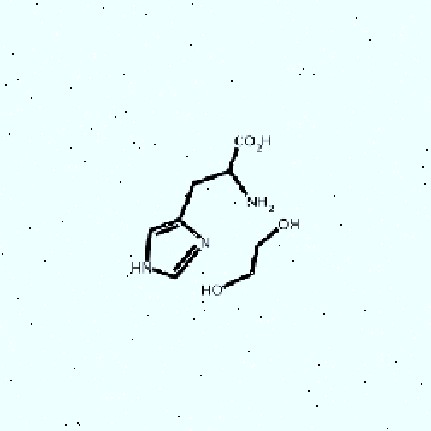 NC(Cc1c[nH]cn1)C(=O)O.OCCO